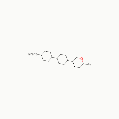 CCCCCC1CCC(C2CCC(C3CCC(CC)OC3)CC2)CC1